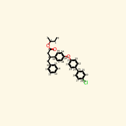 CCC(C)OC(=O)CC(Cc1ccccc1)c1ccc(Oc2ccc(-c3ccc(Cl)cc3)cc2)cc1